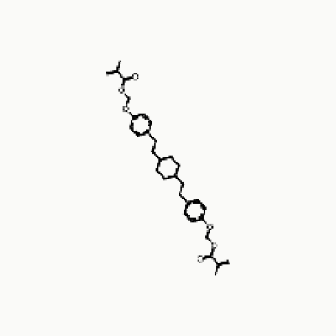 C=C(C)C(=O)OCOc1ccc(CCC2CCC(CCc3ccc(OCOC(=O)C(=C)C)cc3)CC2)cc1